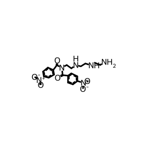 NCCNCCNCCN(C(=O)c1ccc([N+](=O)[O-])cc1)C(=O)c1ccc([N+](=O)[O-])cc1